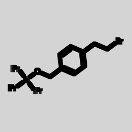 CC(C)[Si](OCc1ccc(CCBr)cc1)(C(C)C)C(C)C